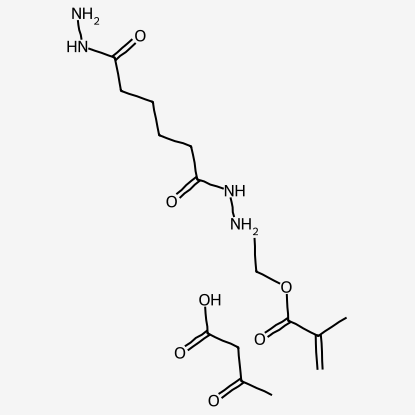 C=C(C)C(=O)OCC.CC(=O)CC(=O)O.NNC(=O)CCCCC(=O)NN